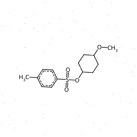 COC1CCC(OS(=O)(=O)c2ccc(C)cc2)CC1